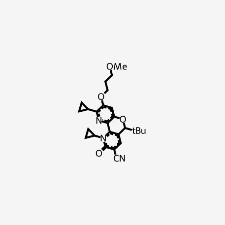 COCCCOc1cc2c(nc1C1CC1)-c1c(cc(C#N)c(=O)n1C1CC1)C(C(C)(C)C)O2